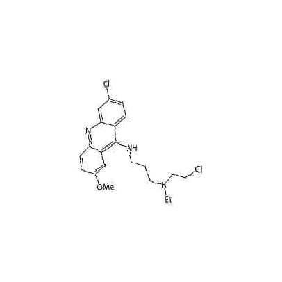 CCN(CCCl)CCCNc1c2ccc(Cl)cc2nc2ccc(OC)cc12